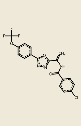 C=C(NC(=O)c1ccc(Cl)cc1)c1nnc(-c2ccc(OC(F)(F)F)cc2)o1